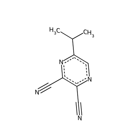 CC(C)c1cnc(C#N)c(C#N)n1